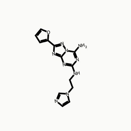 Nc1nc(NCCn2ccnc2)nc2nc(-c3ccco3)nn12